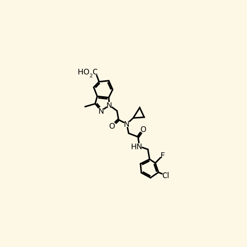 Cc1nn(CC(=O)N(CC(=O)NCc2cccc(Cl)c2F)C2CC2)c2ccc(C(=O)O)cc12